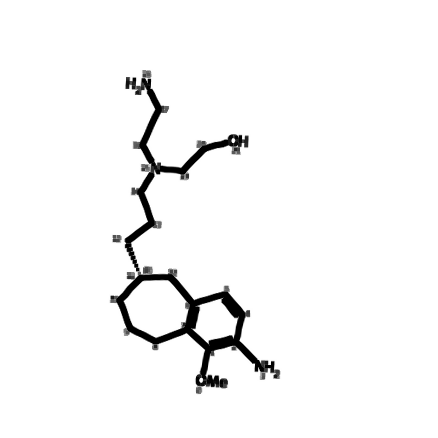 COc1c(N)ccc2c1CCC[C@H](CCCN(CCN)CCO)C2